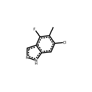 Cc1c(Cl)cc2[nH]ncc2c1F